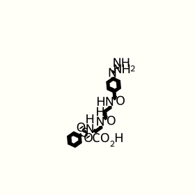 NNN=C1C=CC(C(=O)NCCC(=O)NC[C@H](NS(=O)(=O)c2ccccc2)C(=O)O)=CC1